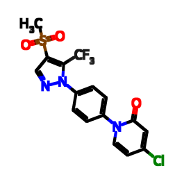 CS(=O)(=O)c1cnn(-c2ccc(-n3ccc(Cl)cc3=O)cc2)c1C(F)(F)F